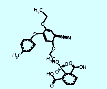 CCOC1=CC(=[N+]=[N-])C(OCC)C=C1Sc1ccc(C)cc1.O=C(O)c1cccc(C(=O)O)c1S(=O)(=O)O